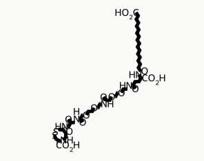 O=C(O)CCCCCCCCCCCCCCCCC(=O)N[C@@H](CCC(=O)NCCOCCOCC(=O)NCCOCCOCC(=O)NCC(=O)CN[C@H]1CSSC[C@@H](C(=O)O)NCC1=O)C(=O)O